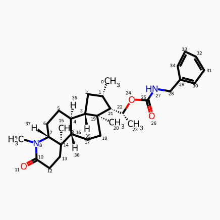 C[C@H]1C[C@H]2[C@@H]3CC[C@H]4N(C)C(=O)CC[C@]4(C)[C@H]3CC[C@]2(C)[C@H]1[C@@H](C)OC(=O)NCc1ccccc1